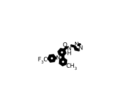 Cc1ccc2c(c1)c1cc(C(=O)NCc3ccncn3)ccc1n2-c1ccc(C(F)(F)F)cc1